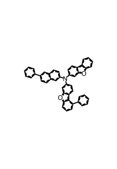 c1ccc(-c2ccc3cc(N(c4ccc5c(c4)oc4ccccc45)c4ccc5c(c4)oc4cccc(-c6ccccc6)c45)ccc3c2)cc1